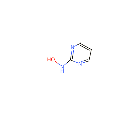 ONc1n[c]ccn1